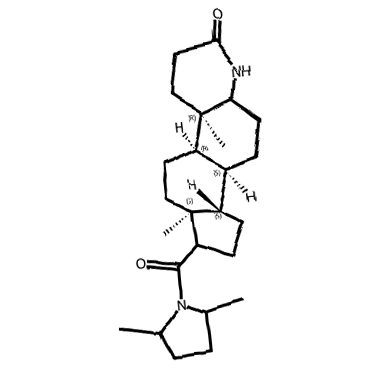 CC1CCC(C)N1C(=O)C1CC[C@H]2[C@@H]3CCC4NC(=O)CC[C@]4(C)[C@@H]3CC[C@]12C